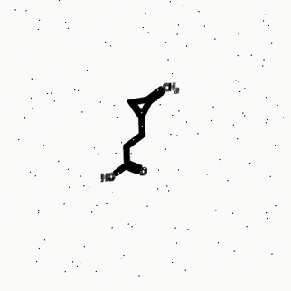 C=C1CC1CCC(=O)O